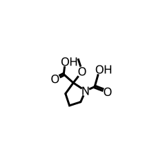 COC1(C(=O)O)CCCN1C(=O)O